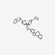 c1ccc(-c2ccc(N(c3ccc(-c4ccc5ccccc5c4)cc3)c3cccc(-c4ccc5c(ccc6c7ccccc7ccc56)c4)c3)cc2)cc1